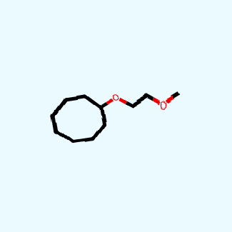 COCCOC1CCCCCCC1